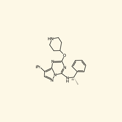 CC(C)c1cnn2c(N[C@@H](C)c3ccccc3)nc(OC3CCNCC3)nc12